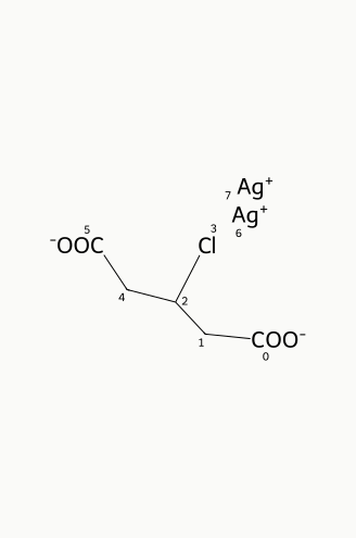 O=C([O-])CC(Cl)CC(=O)[O-].[Ag+].[Ag+]